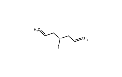 C=C[CH2][In]([I])[CH2]C=C